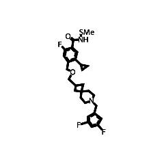 CSNC(=O)c1cc(C2CC2)c(COCC2CC3(CCN(Cc4cc(F)cc(F)c4)CC3)C2)cc1F